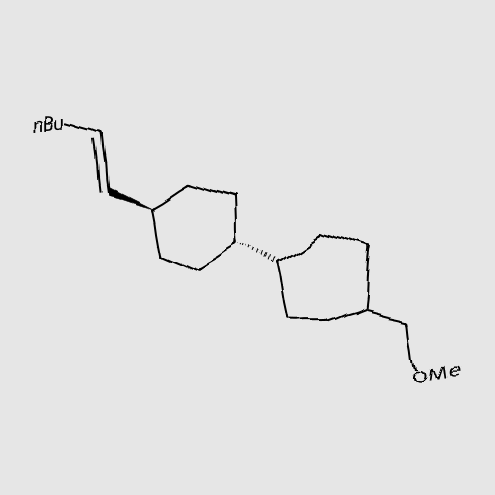 CCCC/C=C/[C@H]1CC[C@H](C2CCC(COC)CC2)CC1